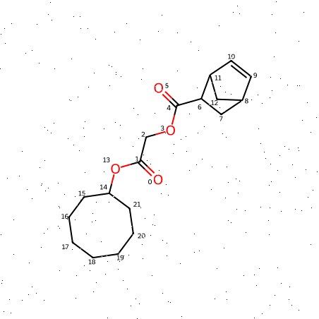 O=C(COC(=O)C1CC2C=CC1C2)OC1CCCCCCC1